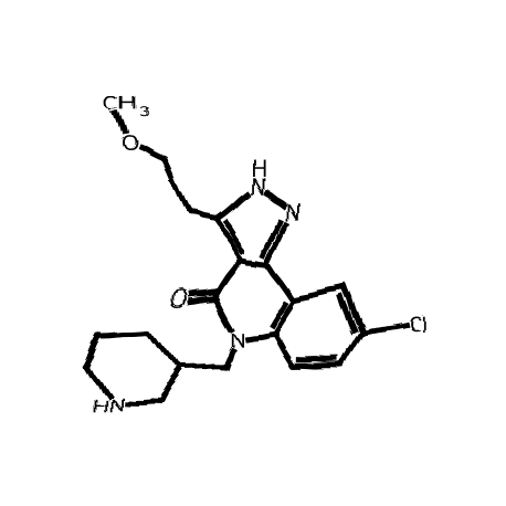 COCCc1[nH]nc2c1c(=O)n(CC1CCCNC1)c1ccc(Cl)cc21